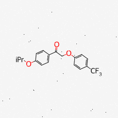 CC(C)Oc1ccc(C(=O)COc2ccc(C(F)(F)F)cc2)cc1